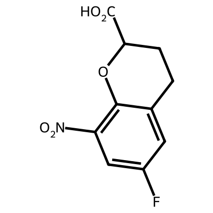 O=C(O)C1CCc2cc(F)cc([N+](=O)[O-])c2O1